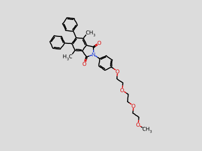 COCCOCCOCCOc1ccc(N2C(=O)c3c(C)c(-c4ccccc4)c(-c4ccccc4)c(C)c3C2=O)cc1